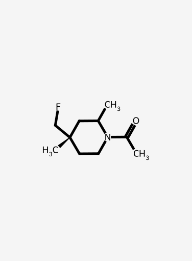 CC(=O)N1CC[C@](C)(CF)CC1C